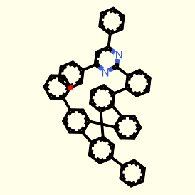 c1ccc(-c2ccc3c(c2)C2(c4cc(-c5ccccc5)ccc4-3)c3ccccc3-c3c(-c4ccccc4-c4nc(-c5ccccc5)cc(-c5ccccc5)n4)cccc32)cc1